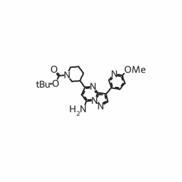 COc1ccc(-c2cnn3c(N)cc(C4CCCN(C(=O)OC(C)(C)C)C4)nc23)cn1